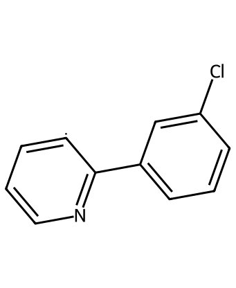 Clc1cccc(-c2[c]cccn2)c1